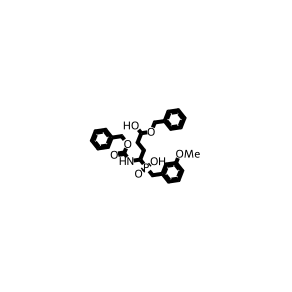 COc1cccc(CP(=O)(O)C(CCC(O)OCc2ccccc2)NC(=O)OCc2ccccc2)c1